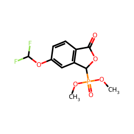 COP(=O)(OC)C1OC(=O)c2ccc(OC(F)F)cc21